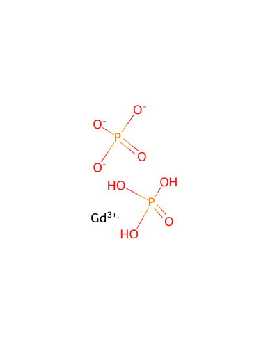 O=P(O)(O)O.O=P([O-])([O-])[O-].[Gd+3]